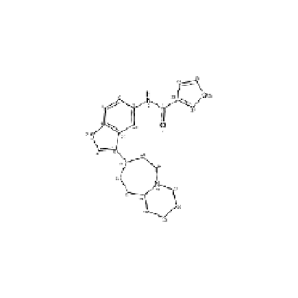 O=C(Nc1ccc2scc(C3CCC4CCCCN4CC3)c2c1)c1ccoc1